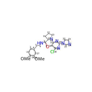 COc1ccc(CCNC(=O)C2CCCN2c2cc(Cl)nc(-n3ccnc3)n2)cc1OC